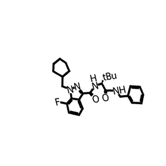 CC(C)(C)[C@H](NC(=O)c1nn(CC2CCCCC2)c2c(F)cccc12)C(=O)NCc1ccccc1